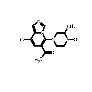 CC(=O)c1cc(Cl)c2cncn2c1N1CC[S+]([O-])C(C)C1